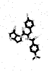 CN(C)c1ccc(C(=O)NC(Cc2ccc(F)cc2)C(=O)N2CCC3OCC(=O)C32)cc1